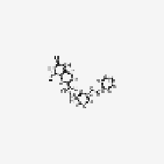 O=c1[nH]c(=O)c2cc(S(=O)(=O)Nc3cccc(CCc4ccncc4)c3)ccc2[nH]1